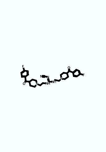 N#CN=C(NCCN1CCC(C(=O)c2ccc(F)cc2)CC1)NCCN1CCC(C(=O)c2ccc(F)cc2)CC1